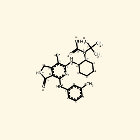 Cc1cccc(Nc2nc(N[C@@H]3CCCC[C@@H]3N(C(=O)O)C(C)(C)C)c(Br)c3c2C(=O)NC3)c1